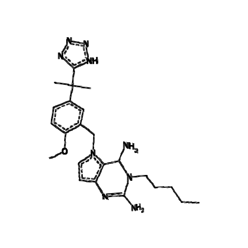 CCCCCN1C(N)=Nc2ccn(Cc3cc(C(C)(C)c4nnn[nH]4)ccc3OC)c2C1N